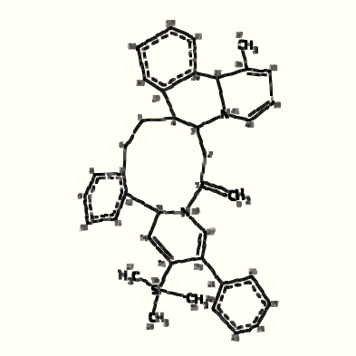 C=C1CC2C(CCc3ccccc3C3C=C([Si](C)(C)C)C(c4ccccc4)=CN13)c1ccccc1C1C(C)=CC=CN12